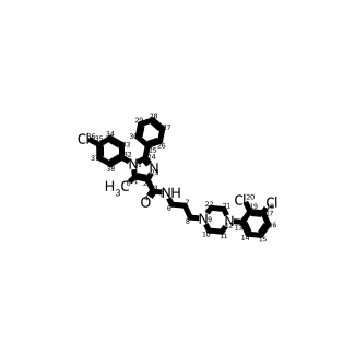 Cc1c(C(=O)NCCCN2CCN(c3cccc(Cl)c3Cl)CC2)nc(-c2ccccc2)n1-c1ccc(Cl)cc1